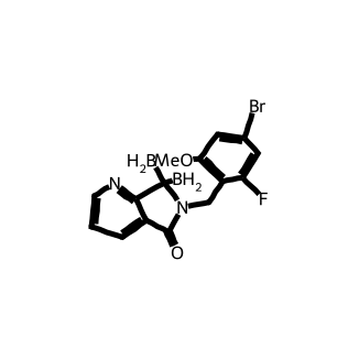 BC1(B)c2ncccc2C(=O)N1Cc1c(F)cc(Br)cc1OC